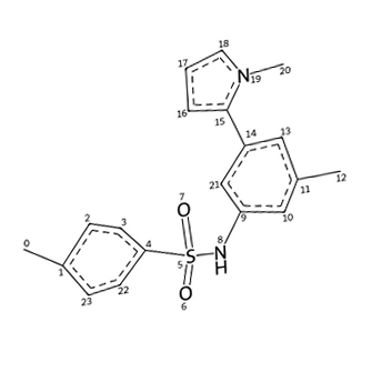 Cc1ccc(S(=O)(=O)Nc2cc(C)cc(-c3cccn3C)c2)cc1